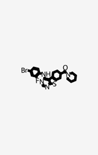 O=C(C1CCc2c(sc3ncnc(Nc4ccc(Br)cc4F)c23)C1)N1CCCCC1